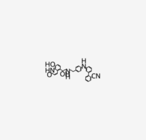 N#Cc1ccccc1-c1cccc(Nc2ccc(CCNC[C@H](O)c3ccc(O)c4[nH]c(=O)ccc34)cc2)c1